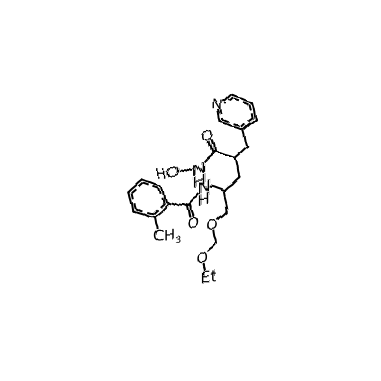 CCOCOCC(CC(Cc1cccnc1)C(=O)NO)NC(=O)c1ccccc1C